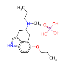 CCCOc1ccc2[nH]cc3c2c1CC(N(C)CCC)C3.O=P(O)(O)O